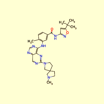 Cc1ccc(C(=O)Nc2cc(C(C)(C)C)on2)cc1Nc1ncnc2cnc(N3CCC4(CCN(C)C4)C3)nc12